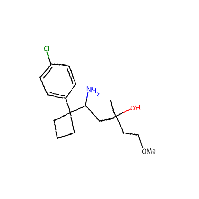 COCCC(C)(O)CC(N)C1(c2ccc(Cl)cc2)CCC1